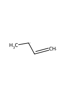 [CH]=C[CH]C